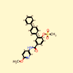 COc1ccc(NC(=O)c2ccc(OS(C)(=O)=O)c(-c3ccc(-c4ccccc4)cc3)c2)cn1